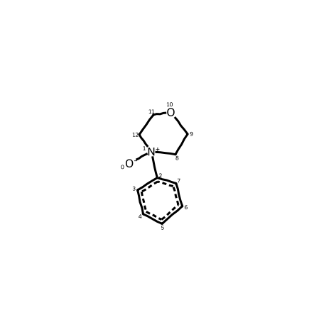 [O-][N+]1(c2ccccc2)CCOCC1